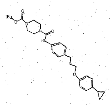 CC(C)(C)OC(=O)N1CCN(C(=O)Nc2ccc(CCCOc3ccc(C4CC4)cc3)nc2)CC1